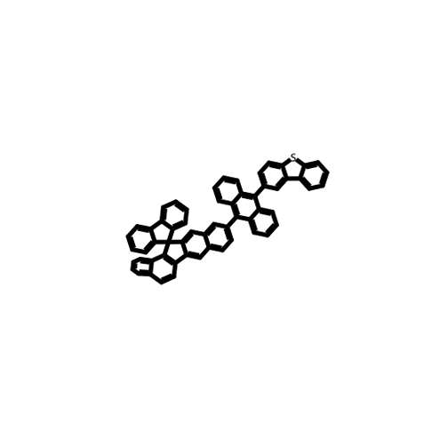 c1ccc2c(c1)-c1ccccc1C21c2cc3cc(-c4c5ccccc5c(-c5ccc6sc7ccccc7c6c5)c5ccccc45)ccc3cc2-c2ccc3ccccc3c21